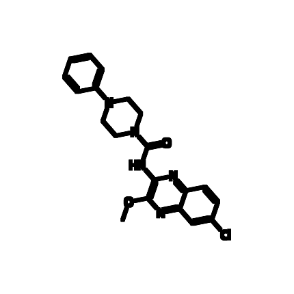 COc1nc2cc(Cl)ccc2nc1NC(=O)N1CCN(c2ccccc2)CC1